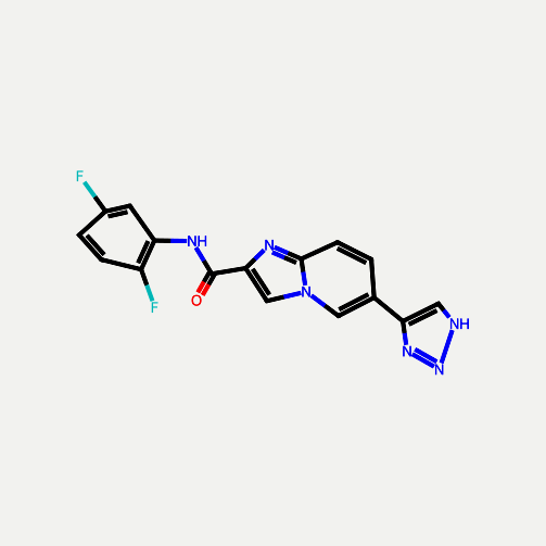 O=C(Nc1cc(F)ccc1F)c1cn2cc(-c3c[nH]nn3)ccc2n1